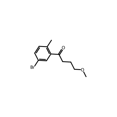 COCCCC(=O)c1cc(Br)ccc1C